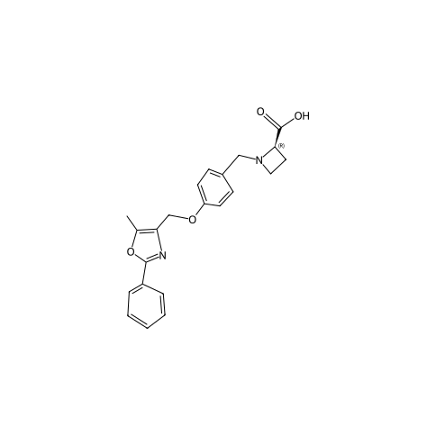 Cc1oc(-c2ccccc2)nc1COc1ccc(CN2CC[C@@H]2C(=O)O)cc1